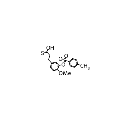 COc1ccc(CCC(O)=S)cc1OS(=O)(=O)c1ccc(C)cc1